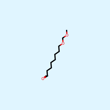 COCOCCCCCCC[C]=O